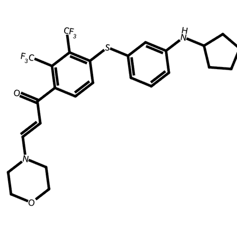 O=C(C=CN1CCOCC1)c1ccc(Sc2cccc(NC3CCCC3)c2)c(C(F)(F)F)c1C(F)(F)F